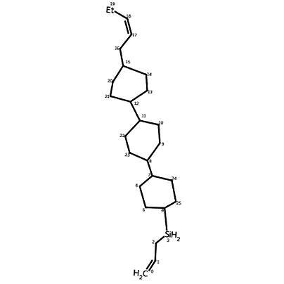 C=CC[SiH2]C1CCC(C2CCC(C3CCC(C/C=C\CC)CC3)CC2)CC1